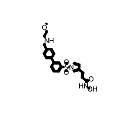 COCCNCc1ccc(-c2cccc(S(=O)(=O)n3ccc(C=CC(=O)NO)c3)c2)cc1